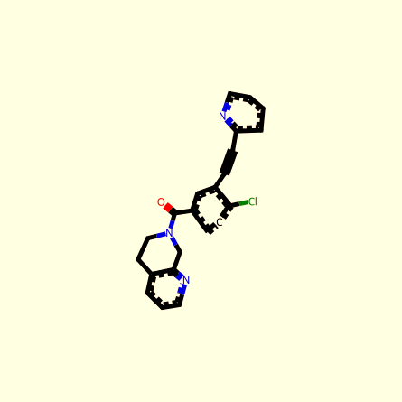 O=C(c1ccc(Cl)c(C#Cc2ccccn2)c1)N1CCc2cccnc2C1